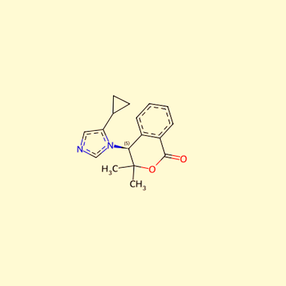 CC1(C)OC(=O)c2ccccc2[C@@H]1n1cncc1C1CC1